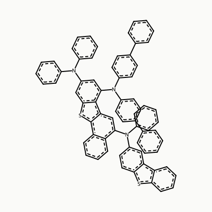 c1ccc(-c2ccc(N(c3ccc(-c4ccccc4)cc3)c3cc(N(c4ccccc4)c4ccccc4)cc4sc5c6ccccc6c(N(c6ccccc6)c6ccc7sc8ccccc8c7c6)cc5c34)cc2)cc1